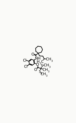 CSC(C)(SC)C(=O)Oc1cc(Cl)c(Cl)cc1NC(=O)C1(CCC(C)C)CCCCCC1